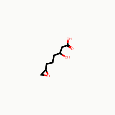 O=C(O)CC(O)CCCC1CO1